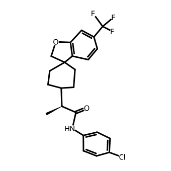 C[C@H](C(=O)Nc1ccc(Cl)cc1)C1CCC2(CC1)COc1cc(C(F)(F)F)ccc12